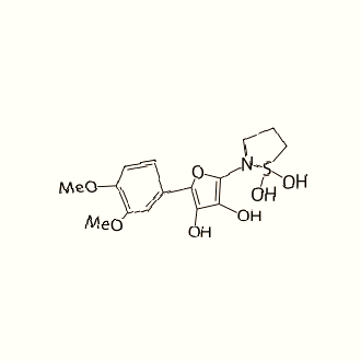 COc1ccc(-c2oc(N3CCCS3(O)O)c(O)c2O)cc1OC